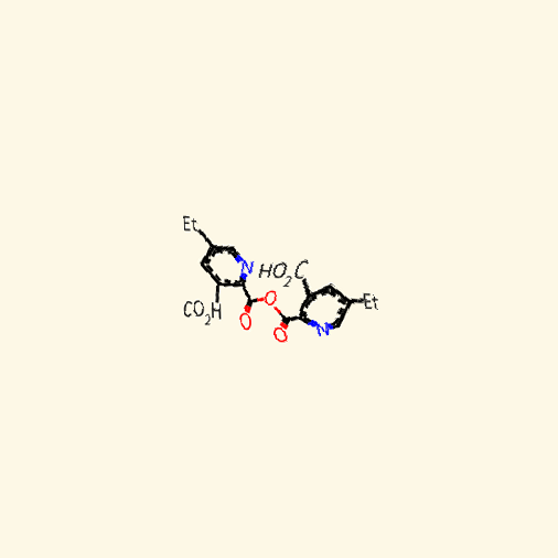 CCc1cnc(C(=O)OC(=O)c2ncc(CC)cc2C(=O)O)c(C(=O)O)c1